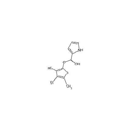 CCc1c(C)sc(OC(O)c2ccc[nH]2)c1C#N